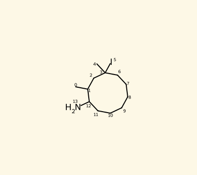 CC1CC(C)(I)CCCCCCC1N